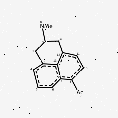 CNC1Cc2cccc3c(C(C)=O)ccc(c23)C1